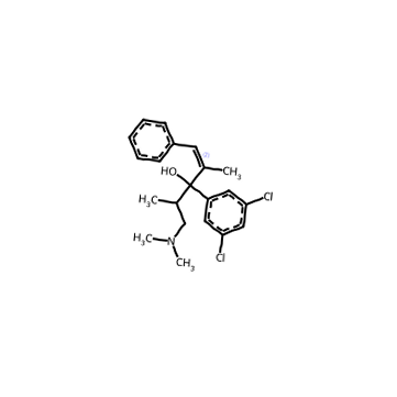 C/C(=C/c1ccccc1)C(O)(c1cc(Cl)cc(Cl)c1)C(C)CN(C)C